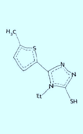 CCn1c(S)nnc1-c1ccc(C)s1